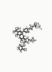 CN(C)C1CN(c2ccc(-n3cc(C(=O)O)c(=O)c4cc(Cl)c(N5CC(C6CCC6)C[C@@H]5COc5ncccc5Cl)cc43)cn2)C1